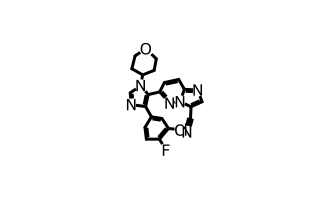 N#Cc1cnc2ccc(-c3c(-c4ccc(F)c(Cl)c4)ncn3C3CCOCC3)nn12